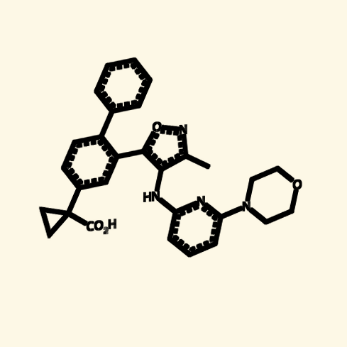 Cc1noc(-c2cc(C3(C(=O)O)CC3)ccc2-c2ccccc2)c1Nc1cccc(N2CCOCC2)n1